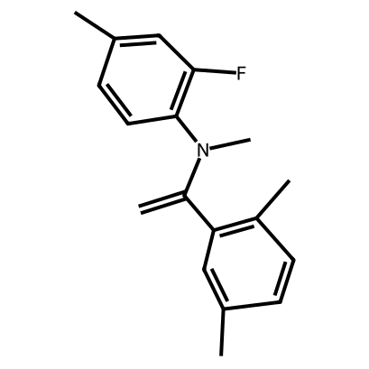 C=C(c1cc(C)ccc1C)N(C)c1ccc(C)cc1F